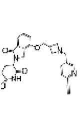 C#Cc1ccc(CN2CC(COc3cccc4c3CN(C3CCC(=O)NC3=O)C4=O)C2)cn1